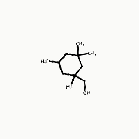 CC1CC(C)(C)CC(O)(CO)C1